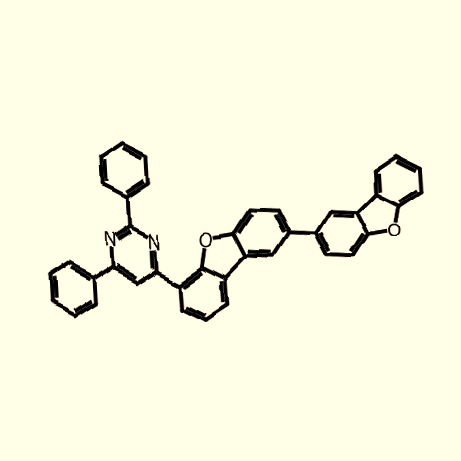 c1ccc(-c2cc(-c3cccc4c3oc3ccc(-c5ccc6oc7ccccc7c6c5)cc34)nc(-c3ccccc3)n2)cc1